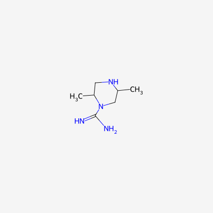 CC1CN(C(=N)N)C(C)CN1